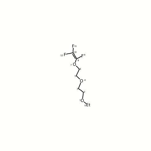 CCOCCOCCOC(F)=C(F)F